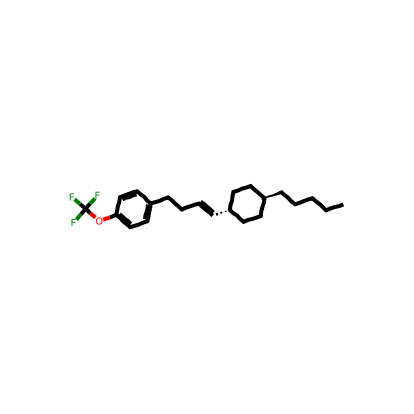 CCCCC[C@H]1CC[C@H](C=CCCc2ccc(OC(F)(F)F)cc2)CC1